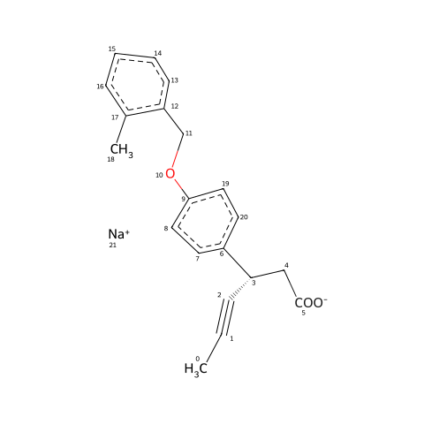 CC#C[C@@H](CC(=O)[O-])c1ccc(OCc2ccccc2C)cc1.[Na+]